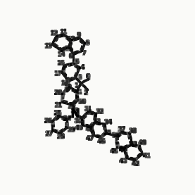 CC1(C)c2cc(-c3cccc4ccccc34)ccc2-c2ccc(N(c3ccccc3)c3ccc4cc(-c5ccc6ccccc6c5)ccc4c3)cc21